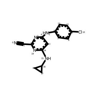 N#Cc1nc(Nc2ccc(Cl)cc2)cc(NC2CC2)n1